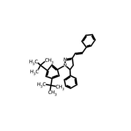 CC(C)(C)c1cc(N2N=C(C=Cc3ccccc3)CC2c2ccccc2)cc(C(C)(C)C)c1